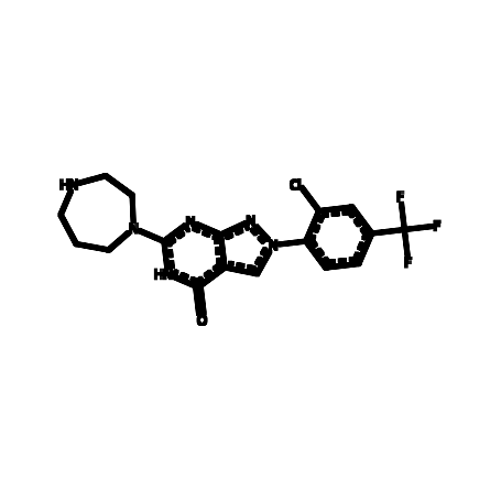 O=c1[nH]c(N2CCCNCC2)nc2nn(-c3ccc(C(F)(F)F)cc3Cl)cc12